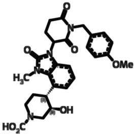 COc1ccc(CN2C(=O)CCC(n3c(=O)n(C)c4c([C@H]5CCN(C(=O)O)C[C@@H]5O)cccc43)C2=O)cc1